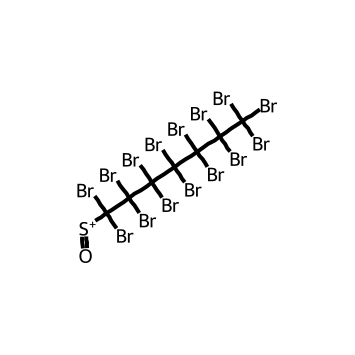 O=[S+]C(Br)(Br)C(Br)(Br)C(Br)(Br)C(Br)(Br)C(Br)(Br)C(Br)(Br)C(Br)(Br)Br